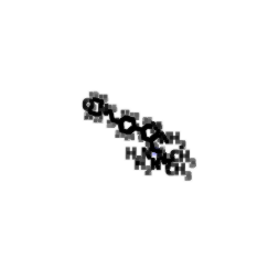 CC(C)N(N)/C=C(\N)c1cc(-c2ccc(CCN3CCOCC3)cc2)cnc1N